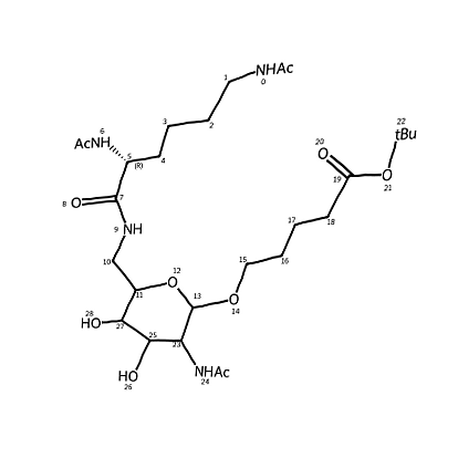 CC(=O)NCCCC[C@@H](NC(C)=O)C(=O)NCC1OC(OCCCCC(=O)OC(C)(C)C)C(NC(C)=O)C(O)C1O